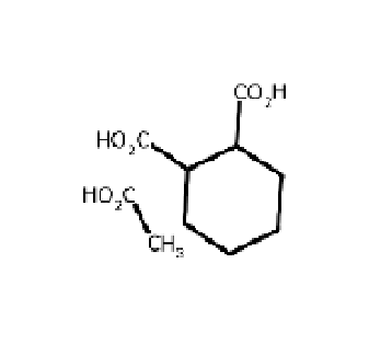 CC(=O)O.O=C(O)C1CCCCC1C(=O)O